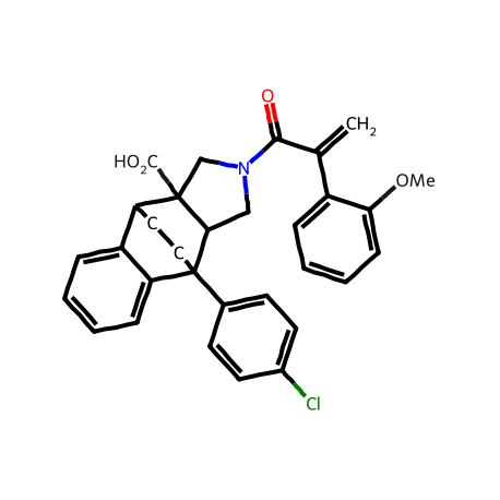 C=C(C(=O)N1CC2C3(c4ccc(Cl)cc4)CCC(c4ccccc43)C2(C(=O)O)C1)c1ccccc1OC